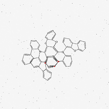 c1ccc(-c2ccccc2N(c2c3c(c(N(c4ccccc4-c4ccccc4)c4cccc5c4oc4ccccc45)c4ccccc24)Oc2ccccc2O3)c2cccc3c2oc2ccccc23)cc1